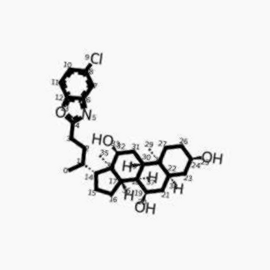 CC(CCc1nc2cc(Cl)ccc2o1)[C@H]1CC[C@H]2[C@@H]3[C@H](O)C[C@@H]4C[C@H](O)CC[C@]4(C)[C@H]3C[C@H](O)[C@]12C